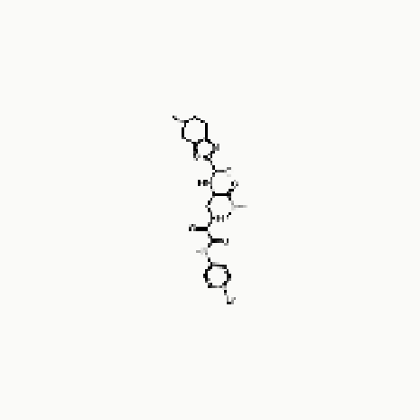 CN1CCc2nc(C(=O)NC(CNC(=O)C(=O)Nc3ccc(Br)cc3)C(=O)N(C)C)sc2C1